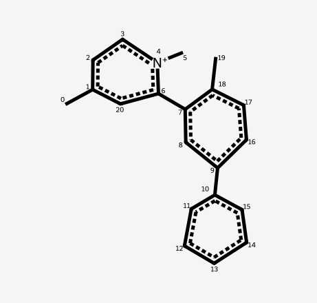 Cc1cc[n+](C)c(-c2cc(-c3ccccc3)ccc2C)c1